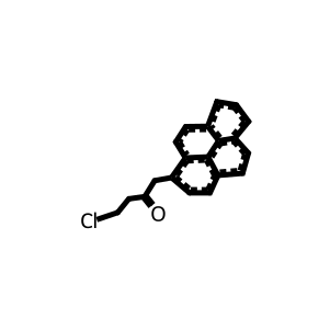 O=C(CCCl)Cc1ccc2ccc3cccc4ccc1c2c34